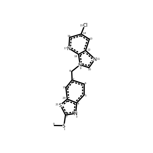 CSc1nc2ccc(Cn3cnc4cc(Cl)cnc43)cc2s1